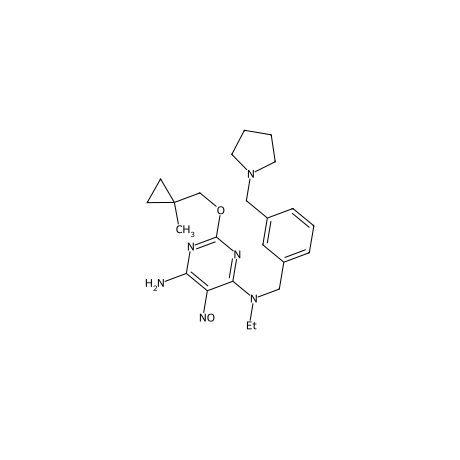 CCN(Cc1cccc(CN2CCCC2)c1)c1nc(OCC2(C)CC2)nc(N)c1N=O